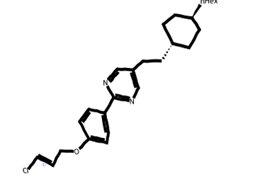 CCCCCC[C@H]1CC[C@H](CCc2cnc(-c3ccc(OC/C=C/Cl)cc3)nc2)CC1